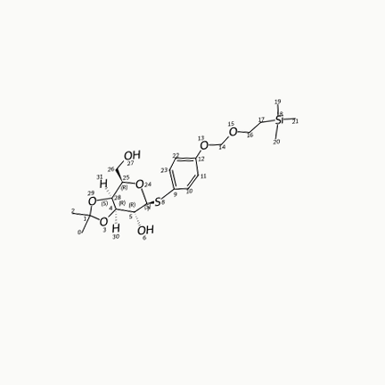 CC1(C)O[C@@H]2[C@@H](O)[C@H](Sc3ccc(OCOCC[Si](C)(C)C)cc3)O[C@H](CO)[C@@H]2O1